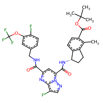 Cc1c(C(=O)OC(C)(C)C)ccc2c1CC[C@@H]2NC(=O)c1cc(C(=O)NCc2ccc(F)c(OC(F)(F)F)c2)nc2c(F)cnn12